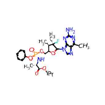 Cc1nc(N)nc2c1ncn2C1OC(CO[P@@](=O)(N[C@@H](C)C(=O)OC(C)C)Oc2ccccc2)[C@@H](C)[C@@]1(C)F